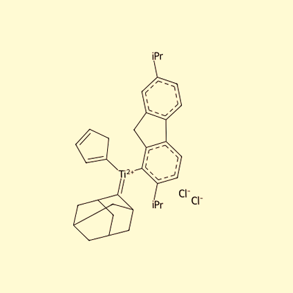 CC(C)c1ccc2c(c1)Cc1c-2ccc(C(C)C)[c]1[Ti+2]([C]1=CC=CC1)=[C]1C2CC3CC(C2)CC1C3.[Cl-].[Cl-]